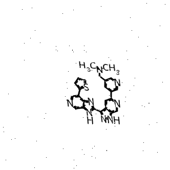 CN(C)Cc1cncc(-c2cc3c(-c4nc5c(-c6cccs6)cncc5[nH]4)n[nH]c3cn2)c1